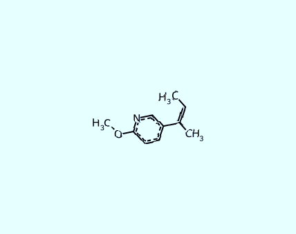 C/C=C(/C)c1ccc(OC)nc1